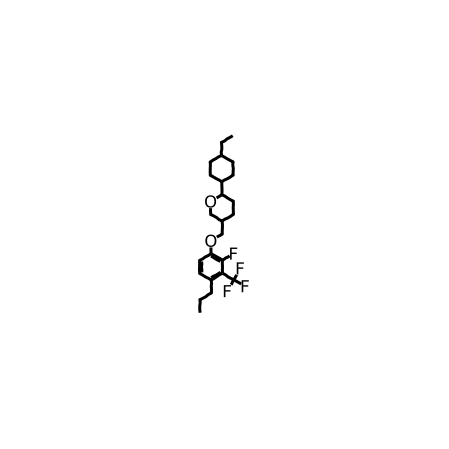 CCCc1ccc(OCC2CCC(C3CCC(CC)CC3)OC2)c(F)c1C(F)(F)F